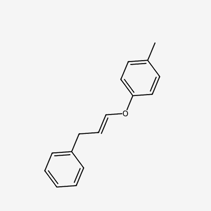 Cc1ccc(OC=CCc2ccccc2)cc1